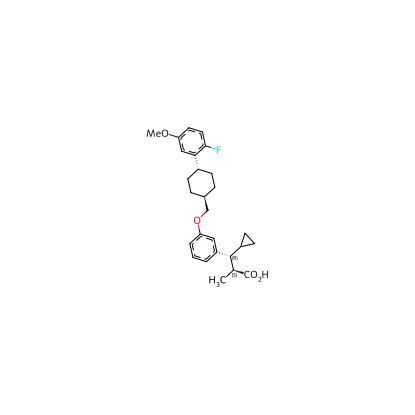 COc1ccc(F)c([C@H]2CC[C@H](COc3cccc([C@H](C4CC4)[C@H](C)C(=O)O)c3)CC2)c1